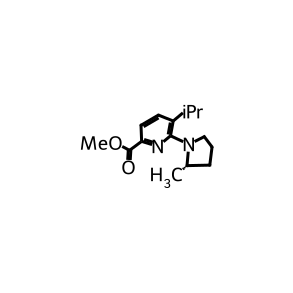 COC(=O)c1ccc(C(C)C)c(N2CCC[C@@H]2C)n1